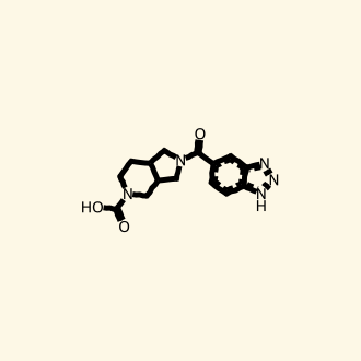 O=C(O)N1CCC2CN(C(=O)c3ccc4[nH]nnc4c3)CC2C1